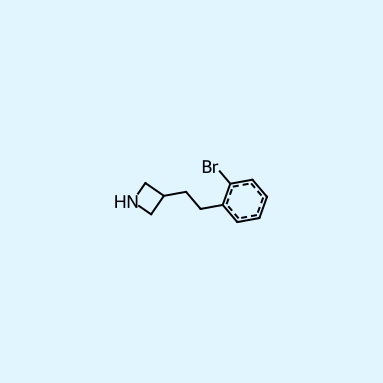 Brc1ccccc1CCC1CNC1